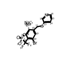 O=P([O-])([O-])C(F)(F)c1ccc(CSc2cccnc2)cc1Br.[Na+].[Na+]